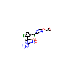 CN1C(N)=NC(C)(c2cc(C=C(F)c3cnc(OCC4COC4)cn3)ccc2F)CS1(=O)=O